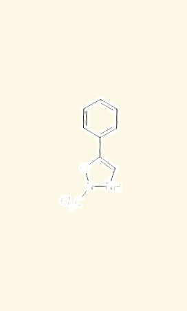 ClC(Cl)(Cl)N1NC=C(c2ccccc2)O1